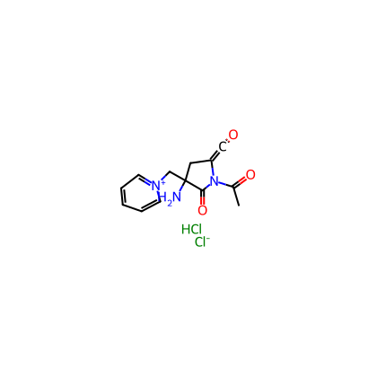 CC(=O)N1C(=O)C(N)(C[n+]2ccccc2)CC1=C=O.Cl.[Cl-]